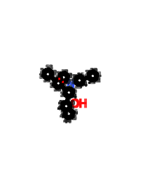 Oc1c(-c2ccc(N(c3ccccc3)c3ccc(-c4ccccc4)cc3)c(-c3ccc(-c4ccccc4)cc3)c2)ccc2ccccc12